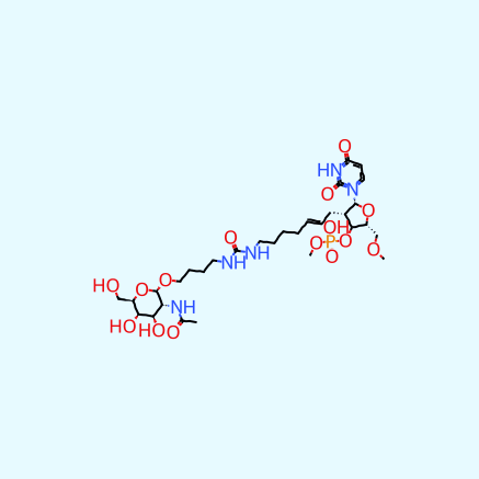 COC[C@H]1O[C@@H](n2ccc(=O)[nH]c2=O)[C@@H](C/C=C/CCCCNC(=O)NCCCCO[C@@H]2O[C@H](CO)[C@H](O)[C@H](O)[C@H]2NC(C)=O)C1OP(=O)(O)OC